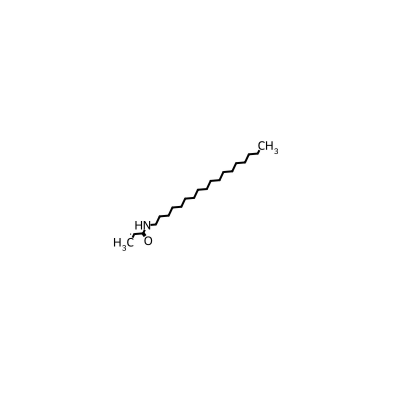 C[CH]C(=O)NCCCCCCCCCCCCCCCCCC